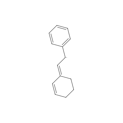 [CH](C=C1C=CCCC1)c1ccccc1